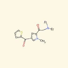 CCN(CC)CC(=O)c1cc(C(=O)c2cccs2)cn1C